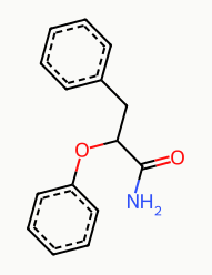 NC(=O)C(Cc1ccccc1)Oc1ccccc1